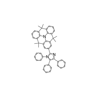 CC1(C)c2cccc3c2N2c4c1cccc4C(C)(C)c1cc(-c4nc(-c5ccccc5)c(-c5ccccc5)n4-c4ccccc4)cc(c12)C3(C)C